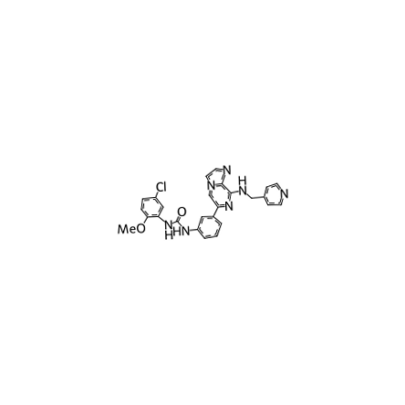 COc1ccc(Cl)cc1NC(=O)Nc1cccc(-c2cn3ccnc3c(NCc3ccncc3)n2)c1